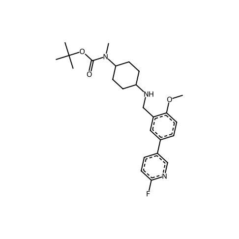 COc1ccc(-c2ccc(F)nc2)cc1CNC1CCC(N(C)C(=O)OC(C)(C)C)CC1